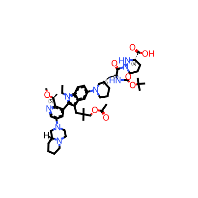 CCn1c(-c2cc(N3CCN4CCCC[C@@H]4C3)cnc2[C@H](C)OC)c(CC(C)(C)COC(C)=O)c2cc(N3CCC[C@@H](C[C@H](NC(=O)OC(C)(C)C)C(=O)N4CCC[C@@H](C(=O)O)N4)C3)ccc21